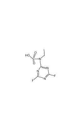 CCN(c1nc(F)nc(F)n1)S(=O)(=O)O